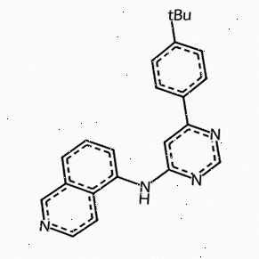 CC(C)(C)c1ccc(-c2cc(Nc3cccc4cnccc34)ncn2)cc1